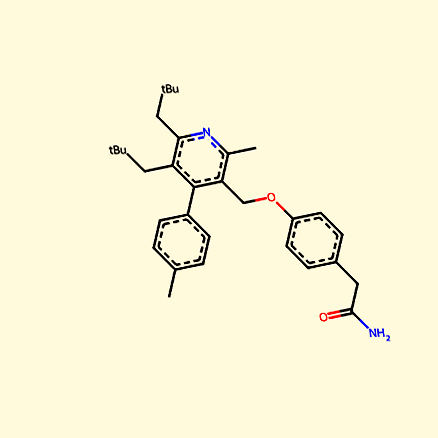 Cc1ccc(-c2c(COc3ccc(CC(N)=O)cc3)c(C)nc(CC(C)(C)C)c2CC(C)(C)C)cc1